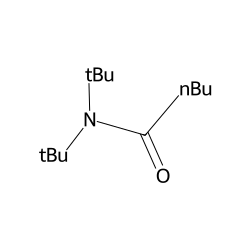 [CH2]CCCC(=O)N(C(C)(C)C)C(C)(C)C